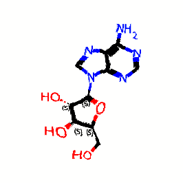 Nc1ncnc2c1ncn2[C@H]1O[C@@H](CO)[C@@H](O)[C@@H]1O